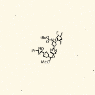 COCC(Oc1cnc(N2C[C@H](NC(=O)OC(C)(C)C)[C@@H](C3=CC(F)C(F)C=C3F)C2)nc1)C1CCN(c2nc(C(C)C)no2)CC1